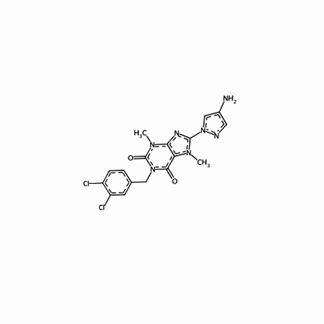 Cn1c(-n2cc(N)cn2)nc2c1c(=O)n(Cc1ccc(Cl)c(Cl)c1)c(=O)n2C